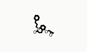 O=C1CCc2c(OCC3CO3)cccc2N1CCCc1ccccc1